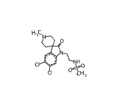 CN1CCC2(CC1)C(=O)N(CCNS(C)(=O)=O)c1cc(Cl)c(Cl)cc12